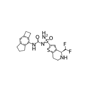 NS(=O)(=NC(=O)Nc1c2c(cc3c1CC3)CCC2)c1cc2c(s1)CCN[C@@H]2C(F)F